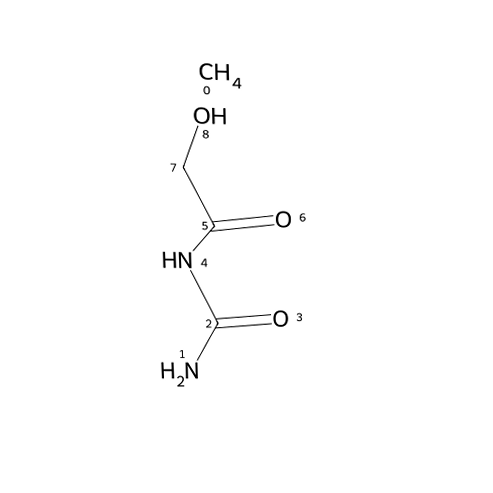 C.NC(=O)NC(=O)CO